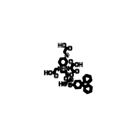 O=C(O)C[N][C@H]1CC[C@H](N(CC(=O)O)CC(COP(=O)(O)OC2CCC(c3ccccc3)(c3ccccc3)CC2)NC(C(=O)O)C(=O)O)CC1